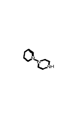 C1=CN(N2CCNCC2)CCC1